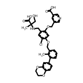 Cc1c(COc2cc(OCc3cncc(C(=O)O)c3)c(CNC(C)(CO)C(=O)O)cc2Cl)cccc1-c1ccc2c(c1)OCCO2